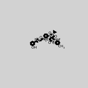 Cc1ccc(Nc2c3c(=O)n(C4CC4)c(=O)n(-c4cccc(NC(=O)Cn5cc(-c6cccc(O)c6)nn5)c4)c3c(C)c(=O)n2C)c(F)c1